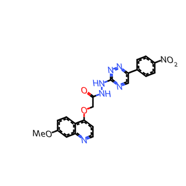 COc1ccc2c(OCC(=O)NNc3ncc(-c4ccc([N+](=O)[O-])cc4)nn3)ccnc2c1